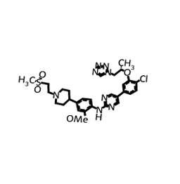 COc1cc(C2CCN(CCS(C)(=O)=O)CC2)ccc1Nc1ncc(-c2ccc(Cl)c(O[C@@H](C)Cn3cnnn3)c2)cn1